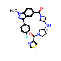 Cn1nc(-c2ccc(F)cc2)c2cc(C(=O)N3CC(N[C@H]4CCN(C(=O)c5cscn5)C4)C3)ccc21